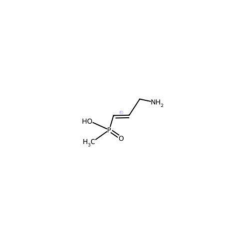 CP(=O)(O)/C=C/CN